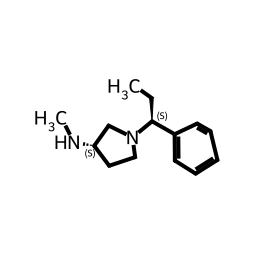 CC[C@@H](c1ccccc1)N1CC[C@H](NC)C1